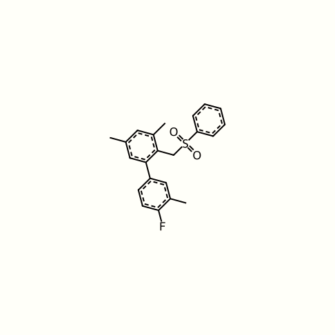 Cc1cc(C)c(CS(=O)(=O)c2ccccc2)c(-c2ccc(F)c(C)c2)c1